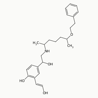 CC(CCCC(C)OCCc1ccccc1)NCC(O)c1ccc(O)c(C=CO)c1